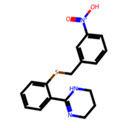 O=[N+](O)c1cccc(CSc2ccccc2C2=NCCCN2)c1